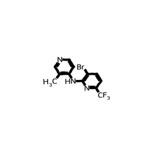 Cc1cnccc1Nc1nc(C(F)(F)F)ccc1Br